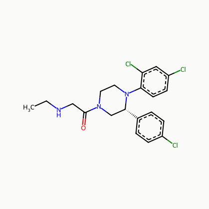 CCNCC(=O)N1CCN(c2ccc(Cl)cc2Cl)[C@H](c2ccc(Cl)cc2)C1